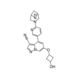 N#Cc1cnn2cc(OC3CC(O)C3)cc(-c3ccc(N4CC5CC(C4)N5)nc3)c12